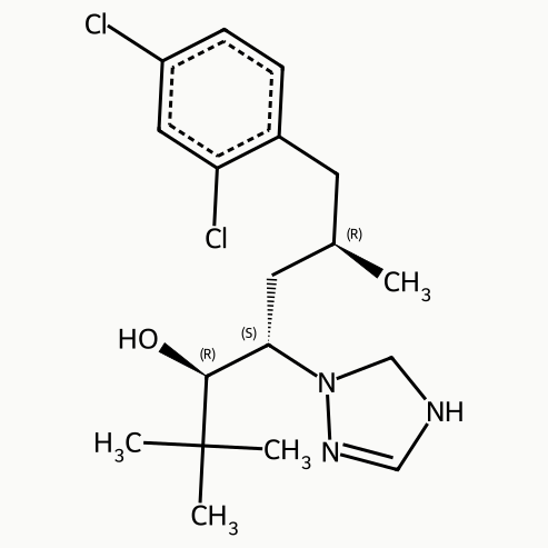 C[C@H](Cc1ccc(Cl)cc1Cl)C[C@@H]([C@H](O)C(C)(C)C)N1CNC=N1